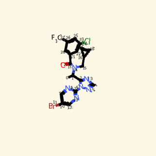 CC(c1ncnn1-c1ncc(Br)cn1)N(CC1CC1)C(=O)c1cc(Cl)cc(C(F)(F)F)c1